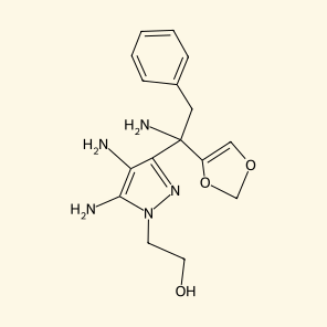 Nc1c(C(N)(Cc2ccccc2)C2=COCO2)nn(CCO)c1N